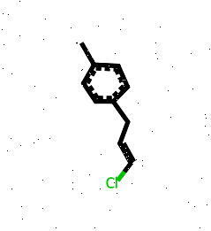 [CH2]c1ccc(C/C=C/Cl)cc1